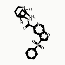 C[C@H]1[C@H](NC(=O)c2cc3c(S(=O)(=O)c4ccccc4)coc3cn2)C2CCN1CC2